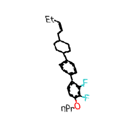 CC/C=C\CC1CCC(c2ccc(-c3ccc(OCCC)c(F)c3F)cc2)CC1